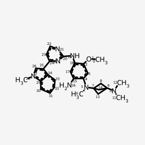 COc1cc(N(C)C23CC(N(C)C)(C2)C3)c(N)cc1Nc1nccc(-c2cn(C)c3ccccc23)n1